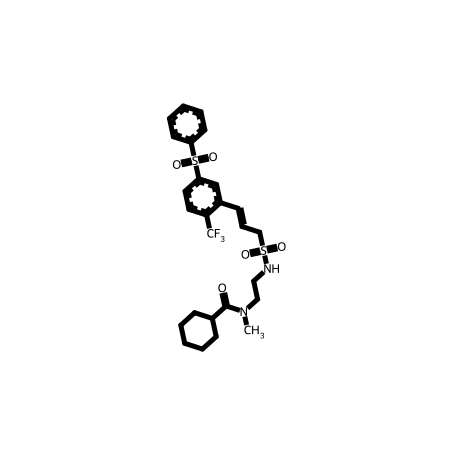 CN(CCNS(=O)(=O)CC=Cc1cc(S(=O)(=O)c2ccccc2)ccc1C(F)(F)F)C(=O)C1CCCCC1